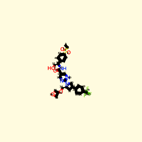 CCS(=O)(=O)c1ccc([C@H](CO)NC(=O)c2cnc(N3CC(c4ccc(C(F)(F)F)cc4)C[C@H]3COC3COC3)nc2)cc1